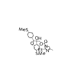 CCc1nc(C)cn1C(=O)OCC(O)(C(=O)c1ccc(SC)cc1)c1ccc(SC)cc1